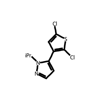 CC(C)n1nccc1-c1cc(Cl)sc1Cl